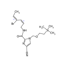 C/C=C(Br)\C=C/CNC(=O)c1nc(C#N)cn1COCC[Si](C)(C)C